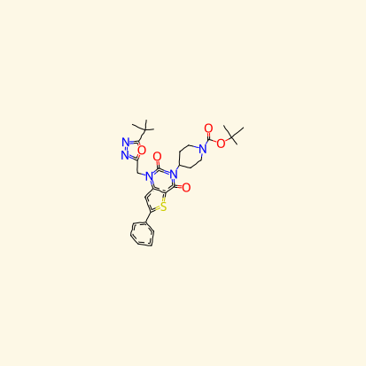 CC(C)(C)OC(=O)N1CCC(n2c(=O)c3sc(-c4ccccc4)cc3n(Cc3nnc(C(C)(C)C)o3)c2=O)CC1